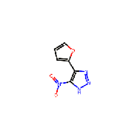 O=[N+]([O-])c1[nH]nnc1-c1ccco1